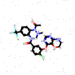 CC(=O)N(c1ccc(C(F)(F)F)cc1NC(=O)c1ccc(Cl)c(Oc2ncnc3c2OCCN3)c1)N(C)C